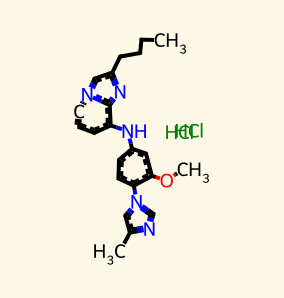 CCCCc1cn2cccc(Nc3ccc(-n4cnc(C)c4)c(OC)c3)c2n1.Cl.Cl